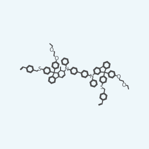 C=Cc1ccc(CSc2ccc(C3(c4ccc(OCCOCC)cc4)C4=C(C=CC(N(c5ccccc5)c5ccc(-c6ccc(N(c7ccccc7)c7ccc8c(c7)C(c7ccc(OCCOCC)cc7)(c7ccc(SCc9ccc(C=C)cc9)cc7)c7ccccc7-8)cc6)cc5)C4C)c4ccccc43)cc2)cc1